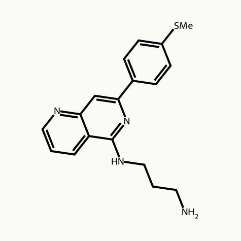 CSc1ccc(-c2cc3ncccc3c(NCCCN)n2)cc1